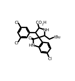 CC(C)(C)CC1NC(C(=O)O)C(c2cc(Cl)cc(Cl)c2)C12C(=O)Nc1cc(Cl)ccc12